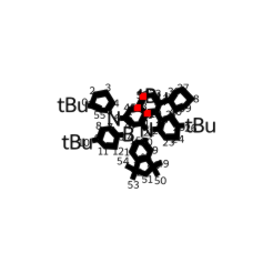 CC(C)(C)c1cccc(N2c3cc(C(C)(C)C)ccc3B3c4cc5c(cc4N(c4ccc(C(C)(C)C)cc4-c4ccccc4-c4ccccc4)c4cc(C(C)(C)C)cc2c43)C(C)(C)CC5(C)C)c1